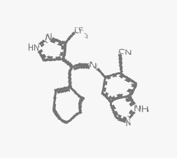 N#Cc1cc2[nH]ncc2cc1/N=C(\C1=CCCCC1)c1c[nH]nc1C(F)(F)F